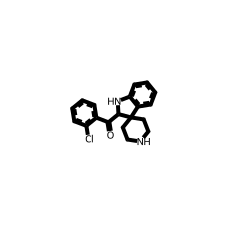 O=C(c1ccccc1Cl)C1Nc2ccccc2C12CCNCC2